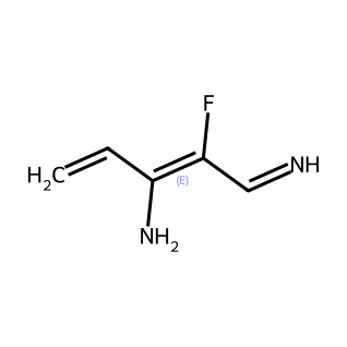 C=C/C(N)=C(\F)C=N